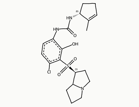 CC1=CCC[C@H]1NC(=O)Nc1ccc(Cl)c(S(=O)(=O)[C@H]2CCN3CCCC23)c1O